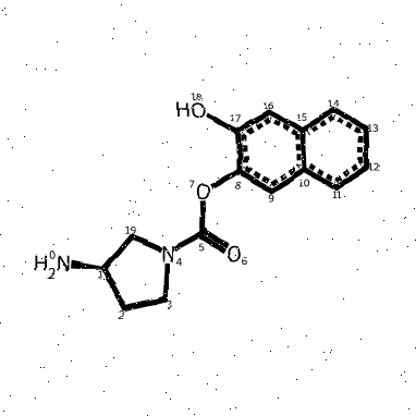 N[C@@H]1CCN(C(=O)Oc2cc3ccccc3cc2O)C1